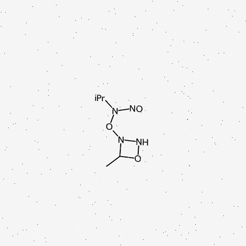 CC(C)N(N=O)ON1NOC1C